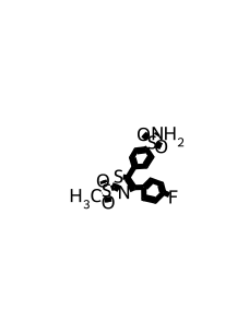 CS(=O)(=O)c1nc(-c2ccc(F)cc2)c(-c2ccc(S(N)(=O)=O)cc2)s1